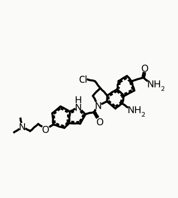 CN(C)CCOc1ccc2[nH]c(C(=O)N3CC(CCl)c4c3cc(N)c3cc(C(N)=O)ccc43)cc2c1